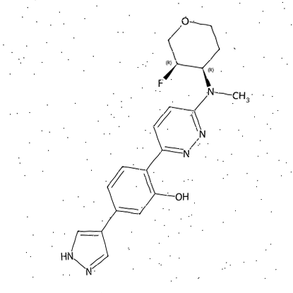 CN(c1ccc(-c2ccc(-c3cn[nH]c3)cc2O)nn1)[C@@H]1CCOC[C@@H]1F